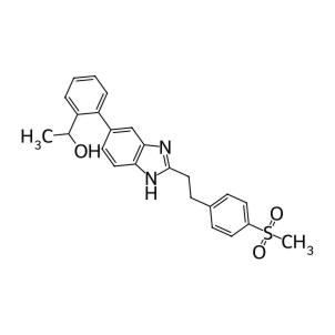 CC(O)c1ccccc1-c1ccc2[nH]c(CCc3ccc(S(C)(=O)=O)cc3)nc2c1